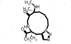 CN[C@@]1(C)CCCCn2nncc2C[C@@](C)(C(C)=O)NCC1=O